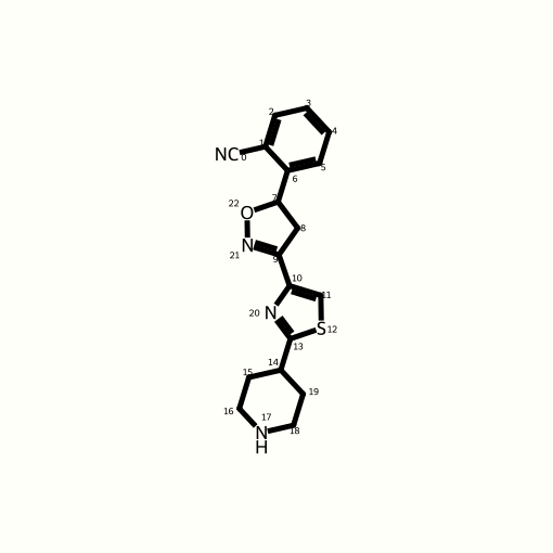 N#Cc1ccccc1C1CC(c2csc(C3CCNCC3)n2)=NO1